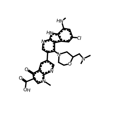 CNc1cc(Cl)cc2c1[nH]c1ncc(-c3cnc4c(c3)c(=O)c(C(=O)O)cn4C)c(N3CCOC(CN(C)C)C3)c12